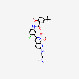 COc1ccc(C(C)(C)C)cc1C(=O)Nc1ccc(Cl)c(C2=Cc3ccc(NCCN(C)C)nc3C(OC)[NH+]2[O-])c1